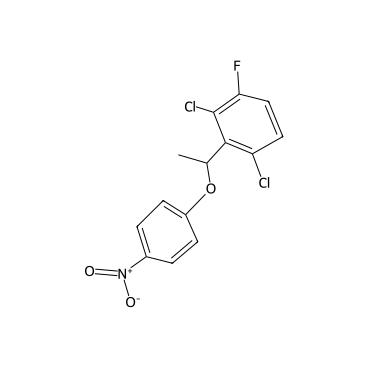 CC(Oc1ccc([N+](=O)[O-])cc1)c1c(Cl)ccc(F)c1Cl